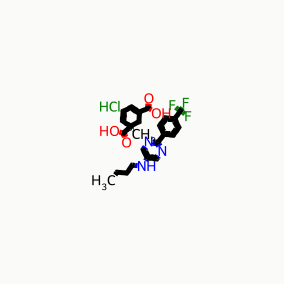 CCCCNc1cnc(-c2ccc(C(F)(F)F)cc2)nc1.C[C@@]1(C(=O)O)C=CC=C(C(=O)O)C1.Cl